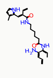 C=C/C=C(N)\C(=C/C)NC(=O)CCCCCNC(=O)/C(C=C)=C/c1[nH]ccc1C